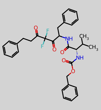 CC(C)[C@H](NC(=O)OCc1ccccc1)C(=O)NC(Cc1ccccc1)C(=O)C(F)(F)C(=O)CCc1ccccc1